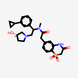 CN(C(=O)Cc1ccc2c(c1)NC(=O)CS2(=O)=O)C(CN1CC[C@H](O)C1)c1cccc(C2CC2)c1